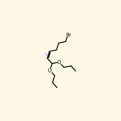 CCCOC(/C=C\CCCBr)OCCC